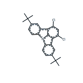 CC(C)(C)c1ccc2c(c1)c1c(Cl)cc(Cl)c3c4cc(C(C)(C)C)ccc4n2c13